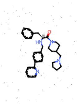 O=C([C@H](Cc1ccccc1)NCc1ccc(-c2ccccn2)cc1)N1CCC(CN2CCCC2)CC1